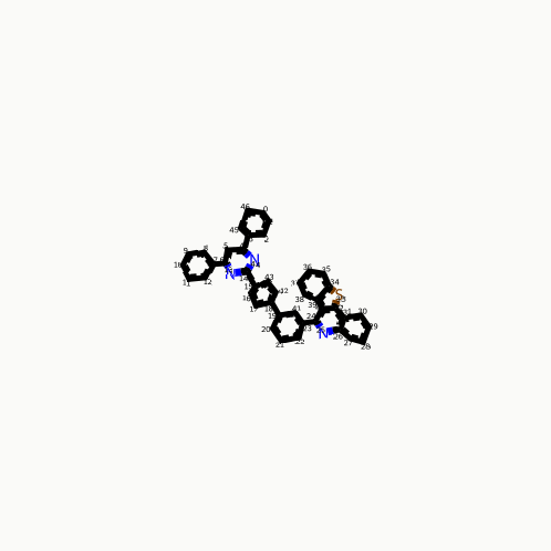 c1ccc(-c2cc(-c3ccccc3)nc(-c3ccc(-c4cccc(-c5nc6ccccc6c6sc7ccccc7c56)c4)cc3)n2)cc1